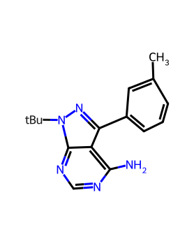 Cc1cccc(-c2nn(C(C)(C)C)c3ncnc(N)c23)c1